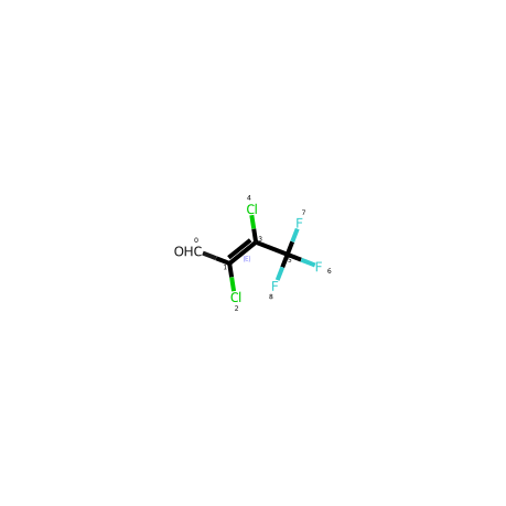 O=C/C(Cl)=C(\Cl)C(F)(F)F